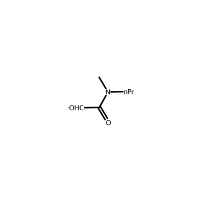 CCCN(C)C(=O)[C]=O